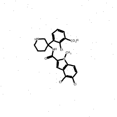 CCc1c(C(=O)O)cccc1C1(NC(=O)c2cc3c(Cl)c(Cl)ccc3n2C)CCCNC1